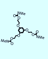 CNC(=O)OCCOc1cc(OCCOC(=O)NC)cc(OCCOC(=O)NC)c1